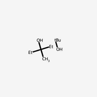 CC(C)(C)O.CCC(C)(O)CC